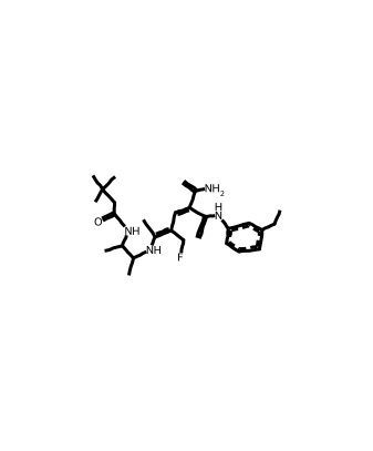 C=C(N)/C(=C/C(CF)=C(\C)NC(C)C(C)NC(=O)CC(C)(C)C)C(=C)Nc1cccc(CC)c1